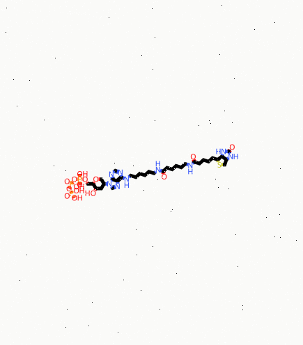 O=C(CCCCCNC(=O)CCCCC1SCC2NC(=O)NC21)NCCCCCCNc1ncnc2c1ncn2C1COC(COP(=O)(O)OP(=O)(O)OP(=O)(O)O)C(O)C1